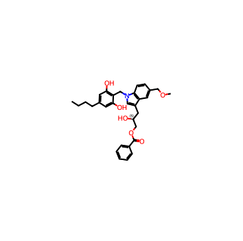 CCCCc1cc(O)c(Cn2cc(C[C@H](O)COC(=O)c3ccccc3)c3cc(COC)ccc32)c(O)c1